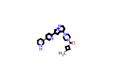 C[C@H]1C[C@H](C(=O)N2CCN(c3ccnn4cc(-c5ccc([C@@H]6CCCNC6)cn5)cc34)CC2)C1